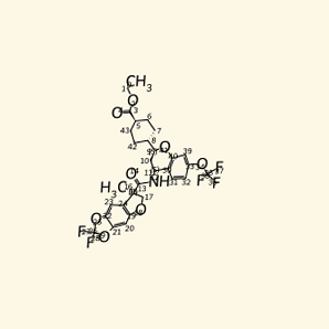 CCOC(=O)[C@H]1CC[C@H]([C@@H]2C[C@H](NC(=O)[C@@]3(C)COc4cc5c(cc43)OC(F)(F)O5)c3ccc(OC(F)(F)F)cc3O2)CC1